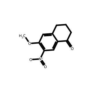 COc1cc2c(cc1[N+](=O)[O-])C(=O)CCC2